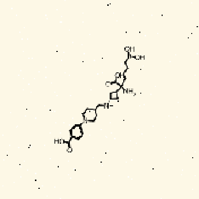 N[C@](CCCCB(O)O)(C(=O)O)[C@H]1C[C@H](NCC2CCN(c3ccc(C(=O)O)cc3)CC2)C1